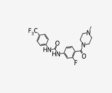 CN1CCN(C(=O)c2ccc(NC(=O)Nc3ccc(C(F)(F)F)cc3)cc2F)CC1